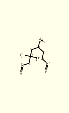 CC(CCN=O)CC(C)(C)CN=O